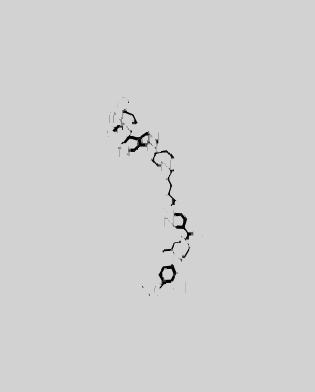 CC1CN(C(=O)c2ccc(OCCCCCN3CCC(n4ncc5c(N6CCC(=O)NC6=O)cncc54)CC3)nc2)CCN1c1ccc(C#N)c(Cl)c1